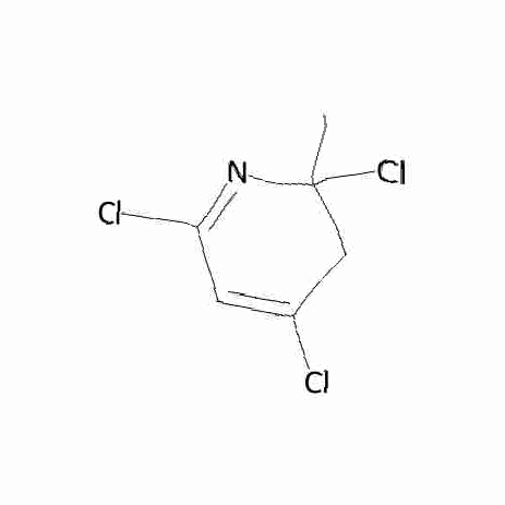 CC1(Cl)CC(Cl)=CC(Cl)=N1